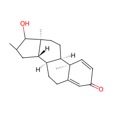 CC1C[C@H]2[C@@H]3CCC4=CC(=O)C=C[C@]4(C)[C@@H]3CC[C@]2(C)C1O